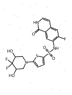 O=c1[nH]ccc2cc(F)c(NS(=O)(=O)c3ccc(N4CC(O)C(F)(F)C(O)C4)s3)cc12